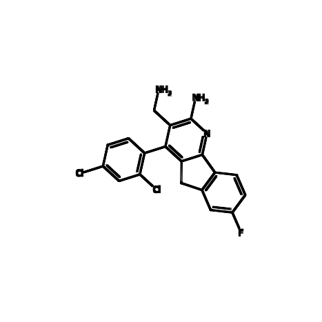 NCc1c(N)nc2c(c1-c1ccc(Cl)cc1Cl)Cc1cc(F)ccc1-2